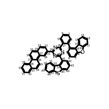 c1ccc(-c2cccc3oc4ccccc4c23)c(-c2nc(-c3ccc4ccc5c6ccccc6ccc5c4c3)nc(-c3cccc4sc5ccccc5c34)n2)c1